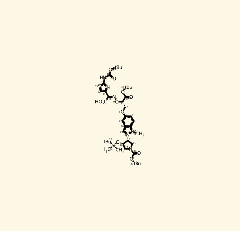 C[n+]1c2ccc(OC[C@H](O/N=C(\C(=O)O)c3csc(NC(=O)OC(C)(C)C)n3)C(=O)OC(C)(C)C)cc2cn1[C@@H]1CN(C(=O)OC(C)(C)C)C[C@@H]1O[Si](C)(C)C(C)(C)C